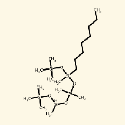 CCCCCCCC[Si](C)(O[Si](C)(C)C)O[Si](C)(C)O[SiH](C)O[Si](C)(C)C